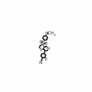 COc1ccc(S(=O)(=O)N2CCSc3c(-c4ccc(C#N)c(F)c4)cncc32)cc1